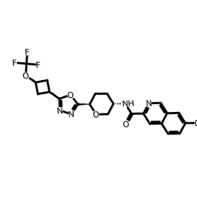 O=C(N[C@H]1CC[C@H](c2nnc(C3CC(OC(F)(F)F)C3)o2)OC1)c1cc2ccc(Cl)cc2cn1